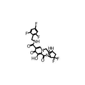 O=C(NCc1c(F)cc(F)cc1F)c1cn2c(c(O)c1=O)C(=O)N1C3C[C@@H](CC3(F)F)[C@H]1C2